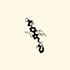 COC1=C(c2c(C)cc(-n3cc(Cl)cn3)cc2C)C(=O)CC1CCNC(=O)c1ccccn1